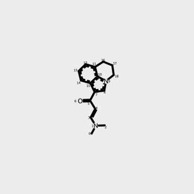 CN(C)C=CC(=O)c1cn2c3c(cccc13)CCC2